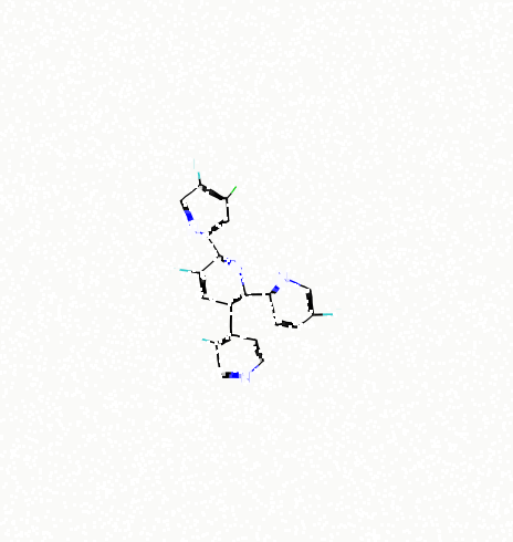 Fc1ccc(-c2nc(-c3cc(Cl)c(F)cn3)c(F)[c]c2-c2ccncc2F)nc1